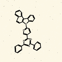 c1ccc(-c2nc(-c3ccccc3)nc(-c3ccc(-n4c5ccccc5c5c6ccccc6ccc54)nc3)n2)cc1